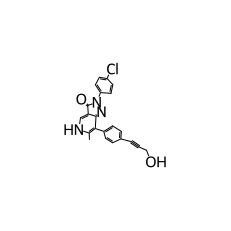 Cc1[nH]cc2c(=O)n(-c3ccc(Cl)cc3)nc-2c1-c1ccc(C#CCO)cc1